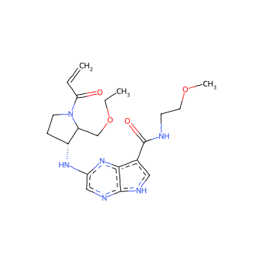 C=CC(=O)N1CC[C@@H](Nc2cnc3[nH]cc(C(=O)NCCOC)c3n2)C1COCC